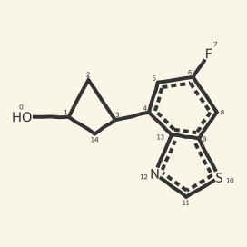 OC1CC(c2cc(F)cc3scnc23)C1